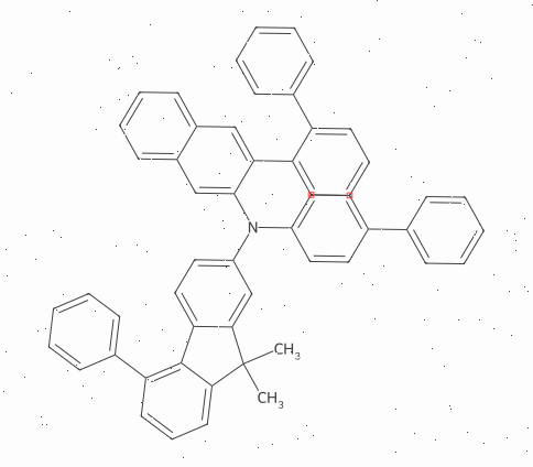 CC1(C)c2cc(N(c3ccc(-c4ccccc4)cc3)c3cc4ccccc4cc3-c3ccccc3-c3ccccc3)ccc2-c2c(-c3ccccc3)cccc21